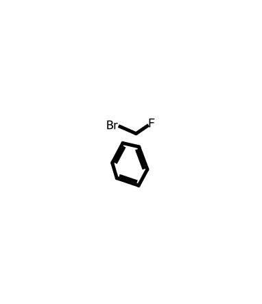 FCBr.c1ccccc1